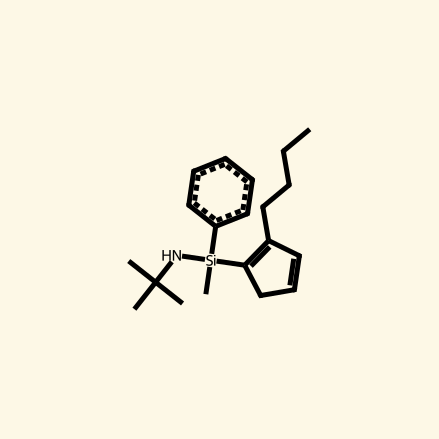 CCCCC1=C([Si](C)(NC(C)(C)C)c2ccccc2)CC=C1